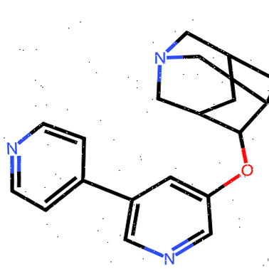 c1cc(-c2cncc(OC3C4CC5CC3CN(C5)C4)c2)ccn1